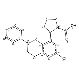 O=C(O)N1CCCC1c1cc(Cl)cc2c1CN(c1cccnc1)CC2